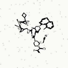 C=C(F)C(=O)N1CCN(c2nc(OCC3C[C@]3(C)N(C)C3S[C@@]3(C)C3CCC3)nc3c2CCN(c2cccc4cccc(C)c24)C3)C[C@@H]1CC#N